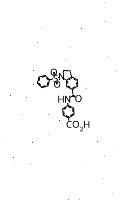 O=C(O)c1ccc(NC(=O)c2ccc3c(c2)N(S(=O)(=O)c2ccccc2)CC3)cc1